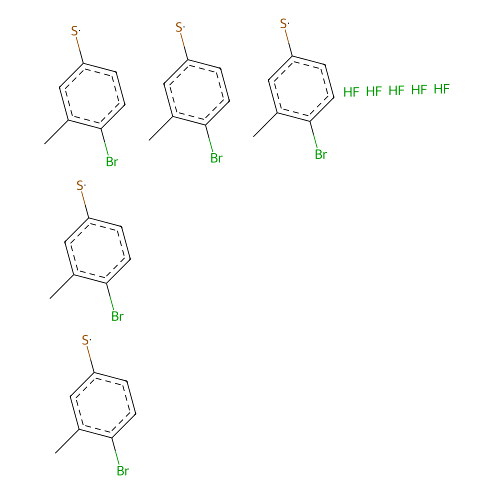 Cc1cc([S])ccc1Br.Cc1cc([S])ccc1Br.Cc1cc([S])ccc1Br.Cc1cc([S])ccc1Br.Cc1cc([S])ccc1Br.F.F.F.F.F